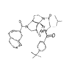 CC(C)C[C@H](NC(=O)c1ccc(C(C)(C)C)cc1)C(=O)N1CCC2[C@H]1C(=O)CN2C(=O)c1ccc2ccccc2c1